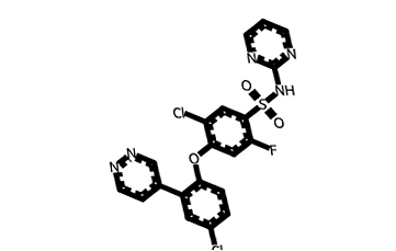 O=S(=O)(Nc1ncccn1)c1cc(Cl)c(Oc2ccc(Cl)cc2-c2ccnnc2)cc1F